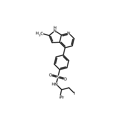 Cc1cc2c(-c3ccc(S(=O)(=O)NC(CI)C(C)C)cc3)ccnc2[nH]1